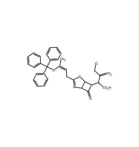 C=C(CCl)C(C(=O)O)N1C(=O)C2N=C(CC=C(C)OC(c3ccccc3)(c3ccccc3)c3ccccc3)SC21